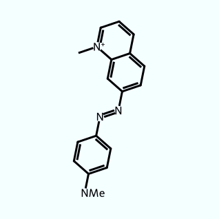 CNc1ccc(N=Nc2ccc3ccc[n+](C)c3c2)cc1